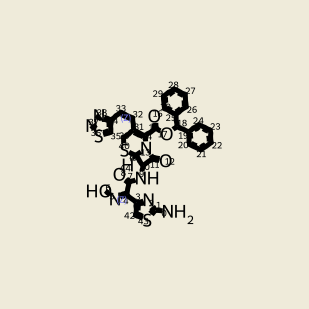 Nc1nc(/C(=N/O)C(=O)NC2C(=O)N3C(C(=O)OC(c4ccccc4)c4ccccc4)=C(/C=C\c4csnn4)CS[C@@H]23)cs1